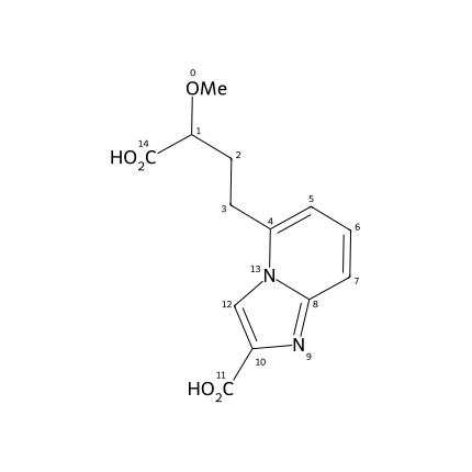 COC(CCc1cccc2nc(C(=O)O)cn12)C(=O)O